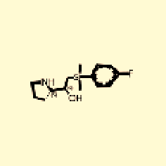 C[Si](C)(C[C@@H](O)[C@@H]1CCCN1)c1ccc(F)cc1